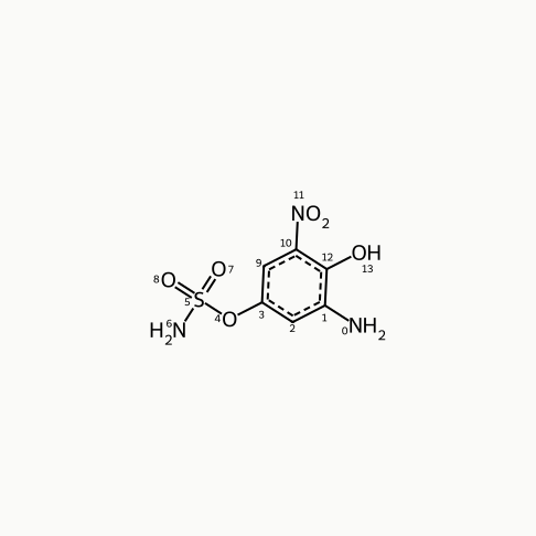 Nc1cc(OS(N)(=O)=O)cc([N+](=O)[O-])c1O